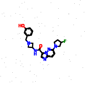 O=C(NC1CN(Cc2cccc(O)c2)C1)c1cnc2ccc(N3CCC(F)C3)nn12